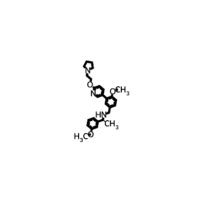 COc1cccc([C@@H](C)NCc2ccc(OC)c(-c3ccc(OCCN4CCCC4)nc3)c2)c1